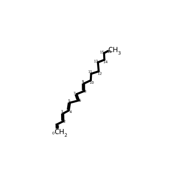 C=CC=CC=CC=CC=CCCCCCCC